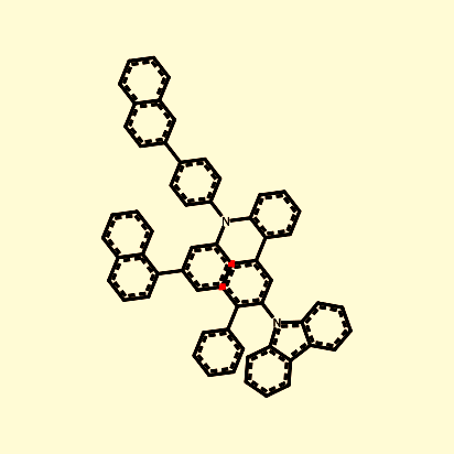 c1ccc(-c2ccc(-c3ccccc3N(c3ccc(-c4ccc5ccccc5c4)cc3)c3cccc(-c4cccc5ccccc45)c3)cc2-n2c3ccccc3c3ccccc32)cc1